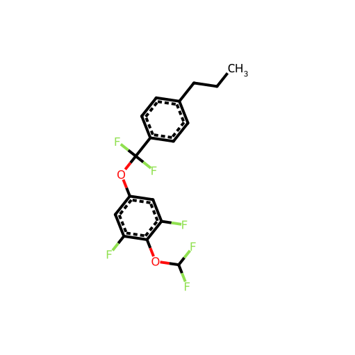 CCCc1ccc(C(F)(F)Oc2cc(F)c(OC(F)F)c(F)c2)cc1